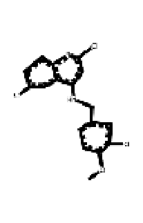 COc1ccc(CNc2cc(Cl)nc3ccc(Cl)cc23)cc1Cl